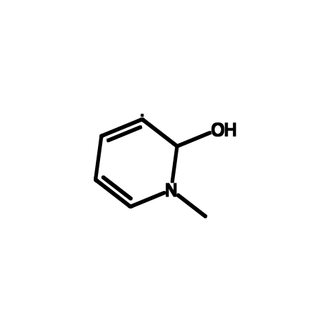 CN1C=CC=[C]C1O